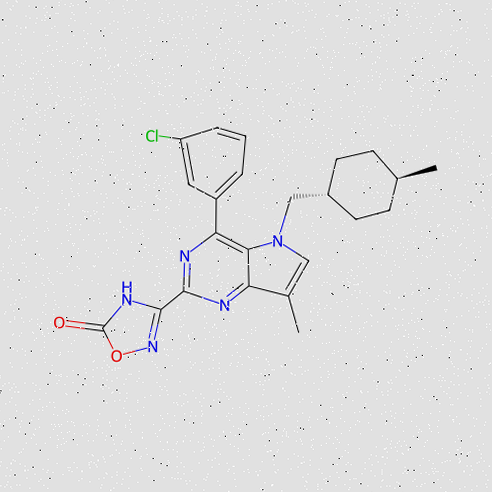 Cc1cn(C[C@H]2CC[C@H](C)CC2)c2c(-c3cccc(Cl)c3)nc(-c3noc(=O)[nH]3)nc12